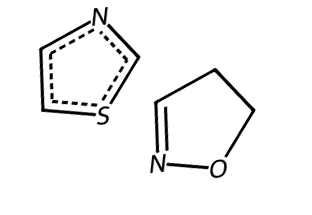 C1=NOCC1.c1cscn1